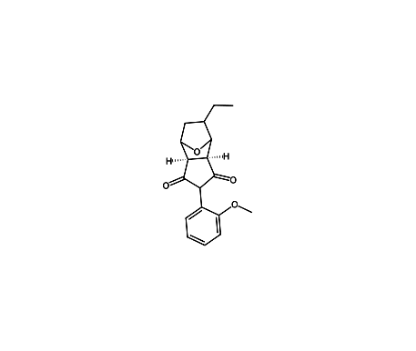 CCC1CC2OC1[C@H]1C(=O)C(c3ccccc3OC)C(=O)[C@@H]21